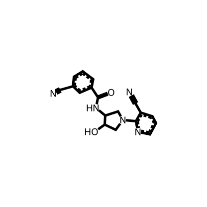 N#Cc1cccc(C(=O)NC2CN(c3ncccc3C#N)CC2O)c1